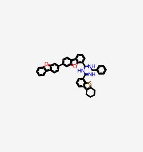 N=C(NC(NCc1ccccc1)c1cccc2c1oc1cc(-c3ccc4c(c3)oc3ccccc34)ccc12)c1cccc2c3c(sc12)CCCC3